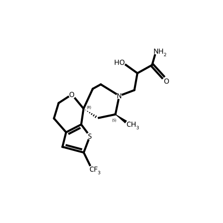 C[C@H]1C[C@@]2(CCN1CC(O)C(N)=O)OCCc1cc(C(F)(F)F)sc12